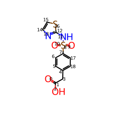 O=C(O)Cc1ccc(S(=O)(=O)Nc2nccs2)cc1